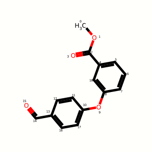 COC(=O)c1cccc(Oc2ccc(C=O)cc2)c1